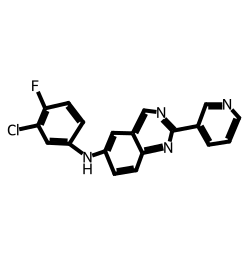 Fc1ccc(Nc2ccc3nc(-c4cccnc4)ncc3c2)cc1Cl